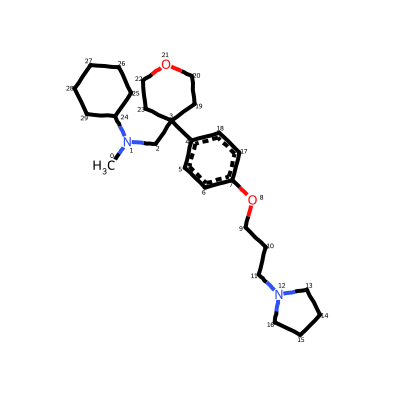 CN(CC1(c2ccc(OCCCN3CCCC3)cc2)CCOCC1)C1CCCCC1